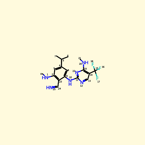 CNc1cc(C(C)C)cc(Nc2ncc(C(F)(F)F)c(NC)n2)c1C=N